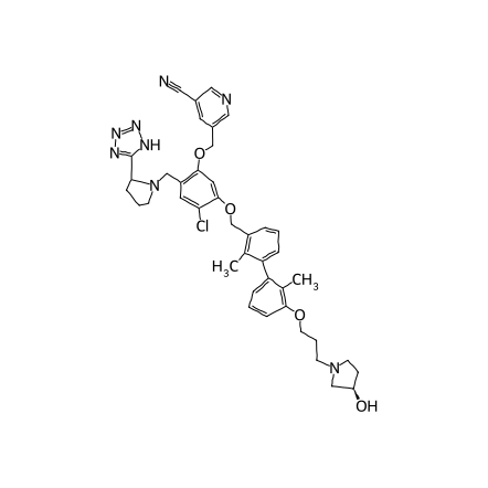 Cc1c(COc2cc(OCc3cncc(C#N)c3)c(CN3CCCC3c3nnn[nH]3)cc2Cl)cccc1-c1cccc(OCCCN2CC[C@@H](O)C2)c1C